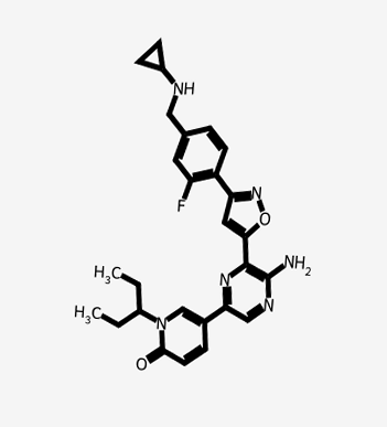 CCC(CC)n1cc(-c2cnc(N)c(-c3cc(-c4ccc(CNC5CC5)cc4F)no3)n2)ccc1=O